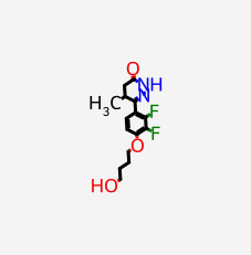 CC1CC(=O)NN=C1c1ccc(OCCCCO)c(F)c1F